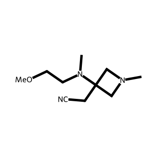 COCCN(C)C1(CC#N)CN(C)C1